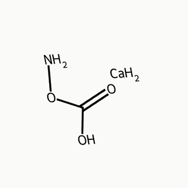 NOC(=O)O.[CaH2]